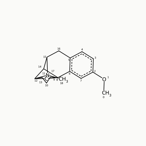 COc1ccc2c(c1)C13CCCC4(C1)C3C(C2)N4C